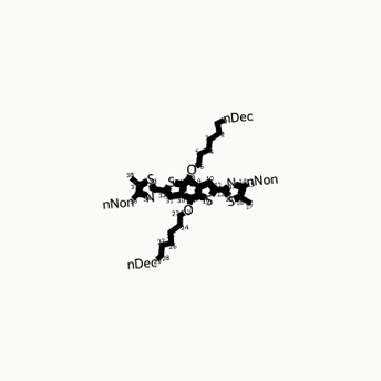 CCCCCCCCCCCCCCCCOc1c2cc(-c3nc(CCCCCCCCC)c(C)s3)sc2c(OCCCCCCCCCCCCCCCC)c2cc(-c3nc(CCCCCCCCC)c(C)s3)sc12